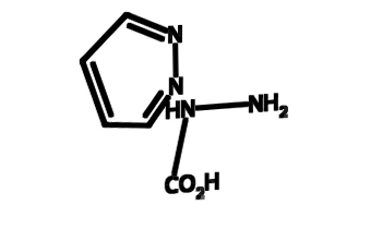 NNC(=O)O.c1ccnnc1